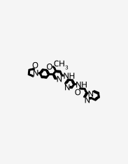 CC1Oc2cc(N3CCCC3=O)ccc2-c2cnc(Nc3cncc(NC(=O)Cc4cnc5ccccn45)c3)cc21